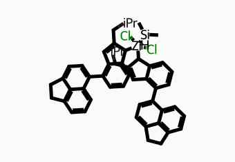 CC(C)CC1=Cc2c(-c3ccc4c5c(cccc35)CC4)cccc2[CH]1[Zr]([Cl])([Cl])([CH]1C(CC(C)C)=Cc2c(-c3ccc4c5c(cccc35)CC4)cccc21)[SiH](C)C